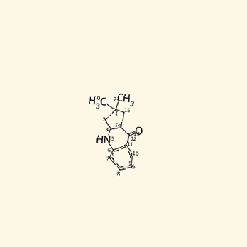 CC1(C)CC2Nc3ccccc3C(=O)C2C1